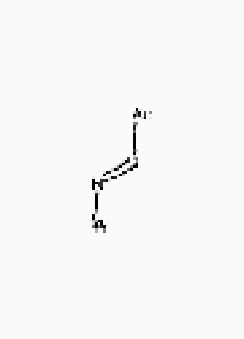 CC(=O)/C=N/C(C)C